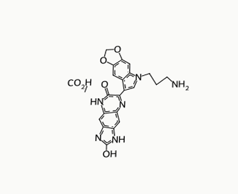 CC(=O)O.NCCCn1cc(-c2nc3cc4[nH]c(O)nc4cc3[nH]c2=O)c2cc3c(cc21)OCO3